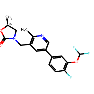 Cc1ncc(-c2ccc(F)c(OC(F)F)c2)cc1CN1C[C@H](C)OC1=O